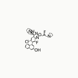 Oc1cc(-c2c(Cl)cc3c(N4CC5CCC(C4)N5)nc(OC[C@@H](F)CN4CCCC4)nc3c2F)c2ccccc2c1